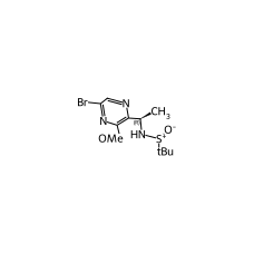 COc1nc(Br)cnc1[C@@H](C)N[S+]([O-])C(C)(C)C